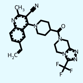 C=Cc1ccc2nc(C)c(C#N)c(N3CCC(C(=O)N4CCn5c(nnc5C(F)(F)F)C4)CC3)c2c1